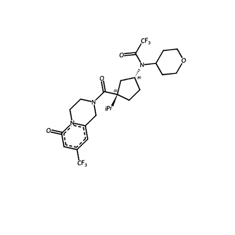 CC(C)[C@]1(C(=O)N2CCn3c(cc(C(F)(F)F)cc3=O)C2)CC[C@@H](N(C(=O)C(F)(F)F)C2CCOCC2)C1